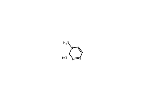 Cl.NN1C=CN=NC1